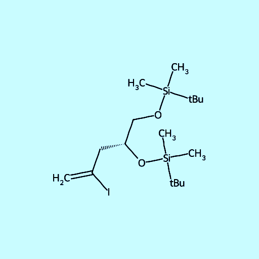 C=C(I)C[C@H](CO[Si](C)(C)C(C)(C)C)O[Si](C)(C)C(C)(C)C